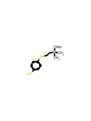 CO[Si](C)(C)CCSc1ccc(S)cc1